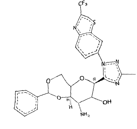 Cc1nc([C@@H]2OC3COC(c4ccccc4)O[C@@H]3C(N)C2O)n(-c2ccc3nc(C(F)(F)F)sc3c2)n1